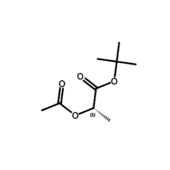 CC(=O)O[C@@H](C)C(=O)OC(C)(C)C